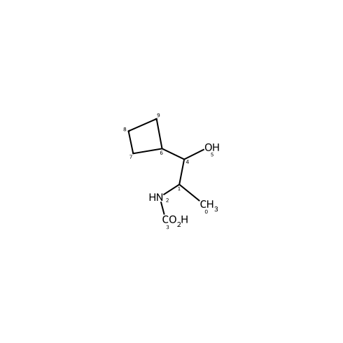 CC(NC(=O)O)C(O)C1CCC1